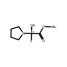 CC(C)(C)OC(=O)[C@](O)(F)N1CCCC1